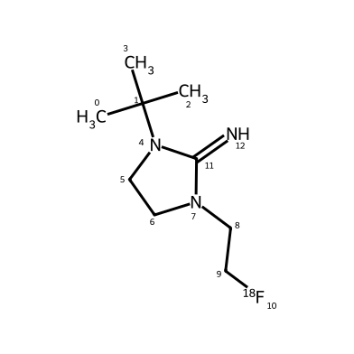 CC(C)(C)N1CCN(CC[18F])C1=N